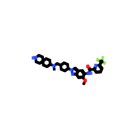 COc1cc2nn(C3CCC(CN(C)C4CCC5(CCNCC5)CC4)CC3)cc2cc1NC(=O)c1cccc(C(F)(F)F)n1